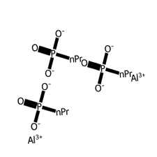 CCCP(=O)([O-])[O-].CCCP(=O)([O-])[O-].CCCP(=O)([O-])[O-].[Al+3].[Al+3]